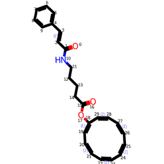 O=C(/C=C/c1ccccc1)NCCCCC(=O)OC1=C/C=C\C=C/C=C\C=C/C=C\1